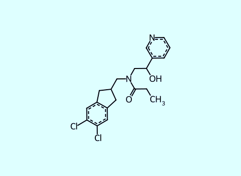 CCC(=O)N(CC1Cc2cc(Cl)c(Cl)cc2C1)CC(O)c1cccnc1